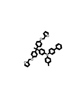 Cc1ccc(N(c2ccc(-c3ccccc3)cc2)c2ccc(C(C)(c3ccc(OCc4ccco4)cc3)c3ccc(OCc4ccco4)cc3)cc2)cc1